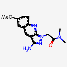 COc1ccc2nc3c(cc2c1)c(N)nn3CC(=O)N(C)C